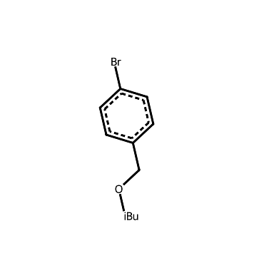 CCC(C)OCc1ccc(Br)cc1